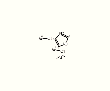 CC(=O)[O-].CC(=O)[O-].[Pd+2].c1cocn1